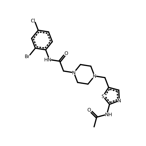 CC(=O)Nc1ncc(CN2CCN(CC(=O)Nc3ccc(Cl)cc3Br)CC2)s1